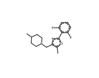 Cc1oc(-c2c(F)cccc2F)nc1CN1CCC(C)CC1